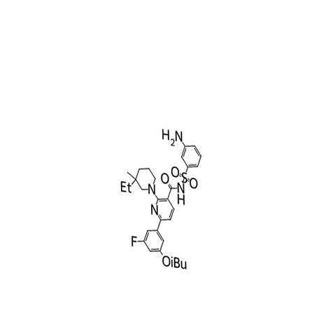 CCC1(C)CCCN(c2nc(-c3cc(F)cc(OCC(C)C)c3)ccc2C(=O)NS(=O)(=O)c2cccc(N)c2)C1